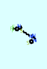 CSc1ccc(N(C)Cc2cn(CCCCCCSc3ccnc4cc(C(F)(F)F)ccc34)cn2)cc1